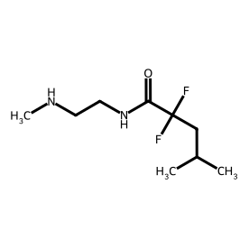 CNCCNC(=O)C(F)(F)CC(C)C